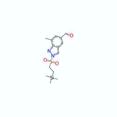 Cc1cc(C=O)cc2cn(S(=O)(=O)CC[Si](C)(C)C)nc12